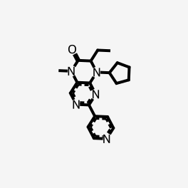 CCC1C(=O)N(C)c2cnc(-c3ccncc3)nc2N1C1CCCC1